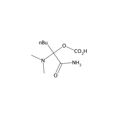 CCCCC(OC(=O)O)(C(N)=O)N(C)C